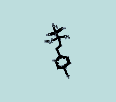 CC(CCc1ccc(Br)cn1)(C(=O)O)S(C)(=O)=O